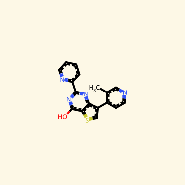 Cc1cnccc1-c1csc2c(O)nc(-c3ccccn3)nc12